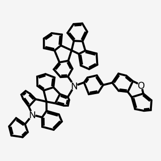 c1ccc(N2c3ccccc3C3(c4ccccc4-c4c(N(c5ccc(-c6ccc7oc8ccccc8c7c6)cc5)c5ccc6c(c5)C5(c7ccccc7-c7ccccc75)c5ccccc5-6)cccc43)c3ccccc32)cc1